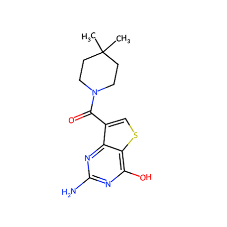 CC1(C)CCN(C(=O)c2csc3c(O)nc(N)nc23)CC1